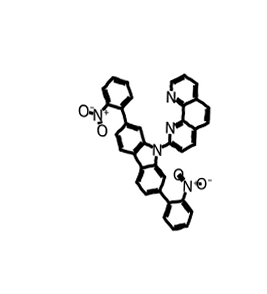 O=[N+]([O-])c1ccccc1-c1ccc2c3ccc(-c4ccccc4[N+](=O)[O-])cc3n(-c3ccc4ccc5cccnc5c4n3)c2c1